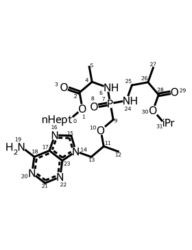 CCCCCCCOC(=O)C(C)NP(=O)(COC(C)Cn1cnc2c(N)ncnc21)NCC(C)C(=O)OC(C)C